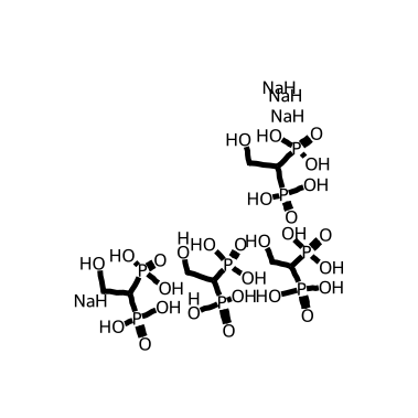 O=P(O)(O)C(CO)P(=O)(O)O.O=P(O)(O)C(CO)P(=O)(O)O.O=P(O)(O)C(CO)P(=O)(O)O.O=P(O)(O)C(CO)P(=O)(O)O.[NaH].[NaH].[NaH].[NaH]